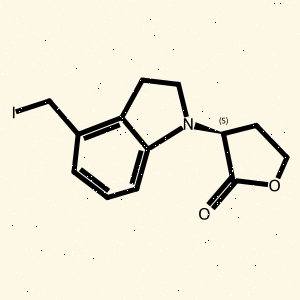 O=C1OCC[C@@H]1N1CCc2c(CI)cccc21